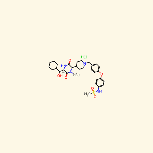 CCCCN1C(=O)[C@@H](C(O)C2CCCCC2)NC(=O)C1C1CCN(Cc2ccc(Oc3ccc(NS(C)(=O)=O)cc3)cc2)CC1.Cl